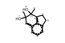 CC1(O)C=c2cccc3c2=C(CC3)C1(C)O